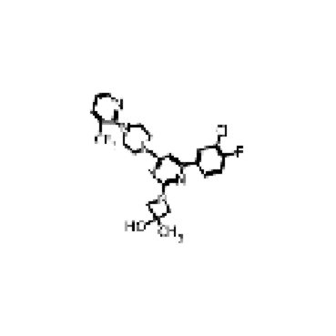 CC1(O)CN(c2nc(-c3ccc(F)c(Cl)c3)cc(N3CCN(c4ncccc4C(F)(F)F)CC3)n2)C1